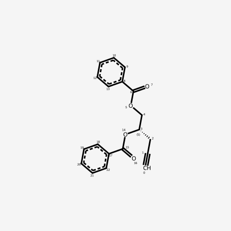 C#CC[C@@H](COC(=O)c1ccccc1)OC(=O)c1ccccc1